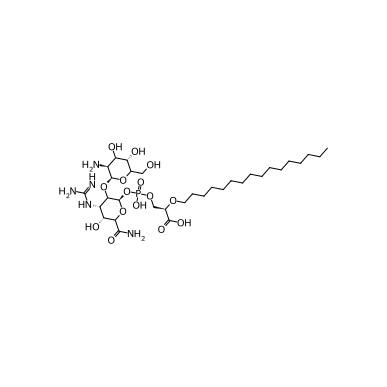 CCCCCCCCCCCCCCCCO[C@H](COP(=O)(O)O[C@H]1OC(C(N)=O)[C@H](O)[C@H](NC(=N)N)C1O[C@@H]1OC(CO)[C@@H](O)C(O)[C@@H]1N)C(=O)O